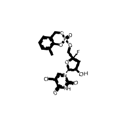 Cc1cccc2c1OP(=O)(OC[C@]1(F)C[C@@H](O)[C@H](n3cc(Cl)c(=O)[nH]c3=O)O1)OC2